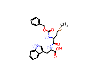 CSCCC(NC(=O)OCc1ccccc1)C(=O)NC(Cc1c[nH]c2ccccc12)C(=O)O